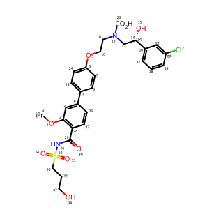 CC(C)Oc1cc(-c2ccc(OCCN(C[C@H](O)c3cccc(Cl)c3)C(=O)O)cc2)ccc1C(=O)NS(=O)(=O)CCCO